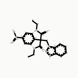 CCOC(=O)C(Cn1nnc2ccccc21)(C(=O)OCC)c1ccc([N+](=O)[O-])cc1